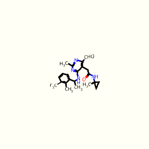 Cc1nc(C=O)c(CC(=O)NC2(C)CC2)c(NC(C)c2cccc(C(F)(F)F)c2C)n1